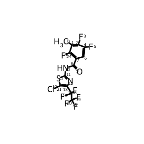 Cc1c(F)c(F)cc(C(=O)Nc2nc(C(F)(F)C(F)(F)F)c(Cl)s2)c1F